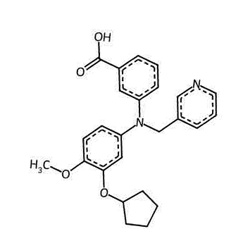 COc1ccc(N(Cc2cccnc2)c2cccc(C(=O)O)c2)cc1OC1CCCC1